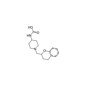 O=C(O)NC1CCN(CC2CCc3ccccc3O2)CC1